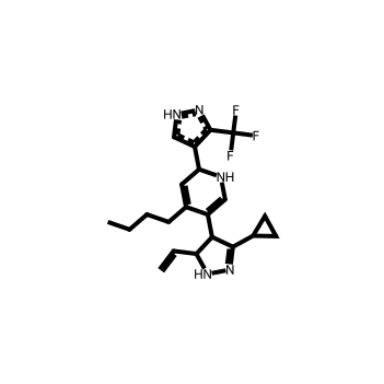 C=CC1NN=C(C2CC2)C1C1=CNC(c2c[nH]nc2C(F)(F)F)C=C1CCCC